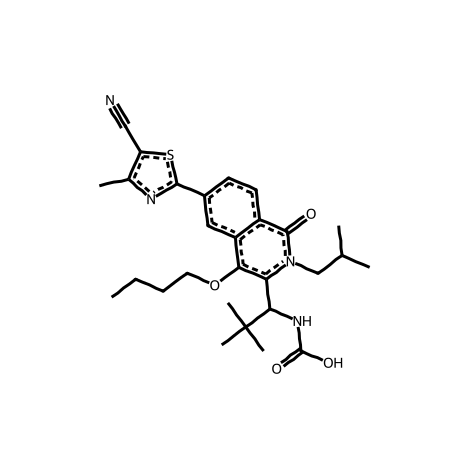 CCCCOc1c(C(NC(=O)O)C(C)(C)C)n(CC(C)C)c(=O)c2ccc(-c3nc(C)c(C#N)s3)cc12